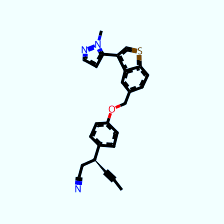 CC#C[C@@H](CC#N)c1ccc(OCc2ccc3scc(-c4ccnn4C)c3c2)cc1